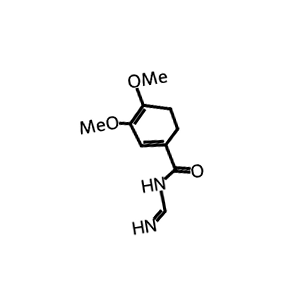 COC1=C(OC)CCC(C(=O)NC=N)=C1